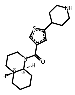 O=C(c1csc(C2CCNCC2)c1)N1CCC[C@H]2CCCC[C@@H]21